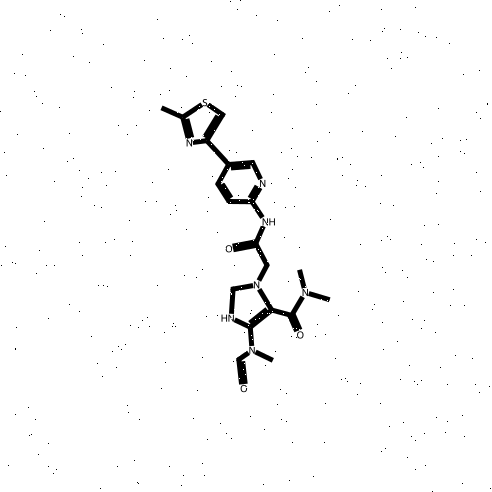 Cc1nc(-c2ccc(NC(=O)CN3CNC(N(C)C=O)=C3C(=O)N(C)C)nc2)cs1